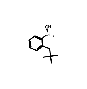 CC(C)(C)Cc1ccccc1[SiH2]O